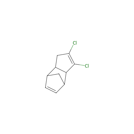 ClC1=C(Cl)C2C3C=CC(C3)C2C1